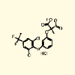 CC(Oc1cccc(Oc2c(Cl)cc(C(F)(F)F)cc2Cl)c1)(C(=O)O)[N+](=O)[O-].Cl